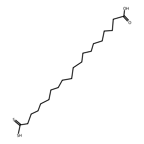 O=C(O)CCCCCCCCCCCCCCCCCCC(=S)S